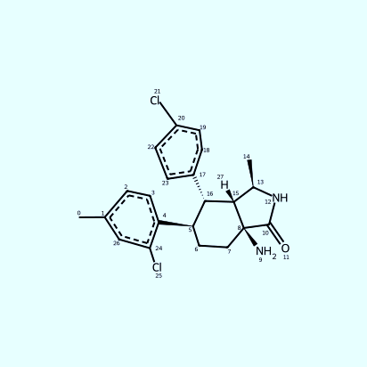 Cc1ccc([C@@H]2CC[C@@]3(N)C(=O)N[C@H](C)[C@H]3[C@H]2c2ccc(Cl)cc2)c(Cl)c1